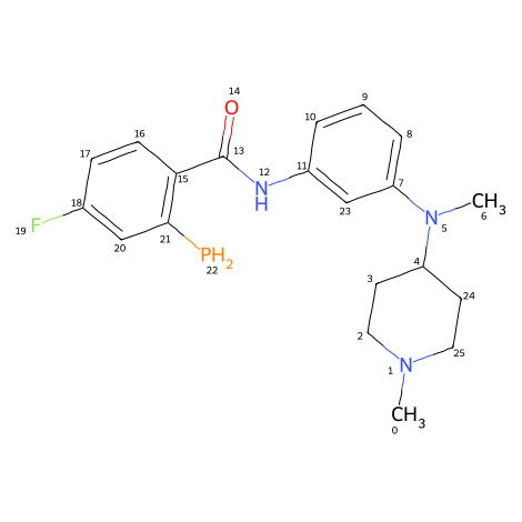 CN1CCC(N(C)c2cccc(NC(=O)c3ccc(F)cc3P)c2)CC1